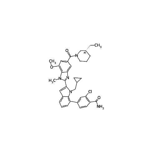 CC[C@@H]1CCCN(C(=O)c2cc(OC)c3c(c2)nc(-c2cc4cccc(-c5ccc(C(N)=O)c(Cl)c5)c4n2CC2CC2)n3C)C1